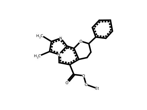 CCOOC(=O)c1cn2c(C)c(C)nc2c2c1CCC(c1ccccc1)O2